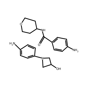 Nc1ccc(C(=O)NC2CCOCC2)cc1.Nc1ccc(N2CC(O)C2)cc1